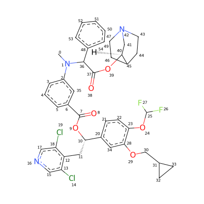 CN(c1cccc(C(=O)O[C@@H](Cc2c(Cl)cncc2Cl)c2ccc(OC(F)F)c(OCC3CC3)c2)c1)C(C(=O)O[C@H]1CN2CCC1CC2)c1ccccc1